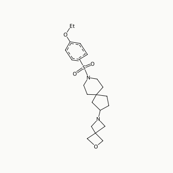 CCOc1ccc(S(=O)(=O)N2CCC3(CCC(N4CC5(COC5)C4)C3)CC2)cc1